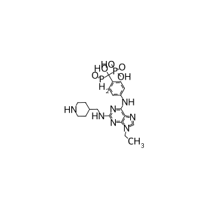 CCn1cnc2c(Nc3ccc(C(O)([PH2]=O)P(=O)(O)O)cc3)nc(NCC3CCNCC3)nc21